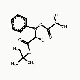 C[C@@H](C(=O)OC(C)(C)C)N(OC(=O)N(C)C)c1ccccc1